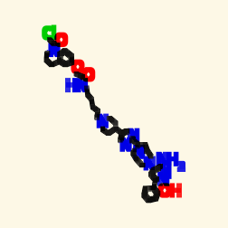 Nc1nnc(-c2ccccc2O)cc1N1CC2CC3(c4ncc(C5CCN(CCCCCCNC(=O)COc6ccc7c(c6)CCCN7C(=O)CCl)CC5)cn4)CC(C1)N23